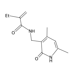 C=C(CC)C(=O)NCc1c(C)cc(C)[nH]c1=O